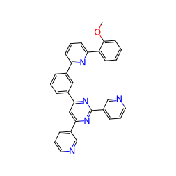 COc1ccccc1-c1cccc(-c2cccc(-c3cc(-c4cccnc4)nc(-c4cccnc4)n3)c2)n1